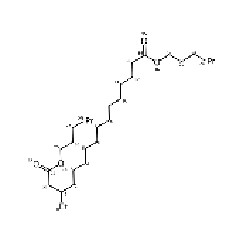 CCC(CCCCCCCCCCCCC(=O)OCCCC(C)C)CC(=O)OCCCC(C)C